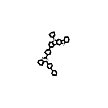 C1=CC2Sc3cc4c5cc(C6=CCC(c7nc(-c8ccc(-c9ccccc9)cc8)c8ccccc8n7)C=C6)ccc5n(-c5ccccc5)c4cc3C2C=C1